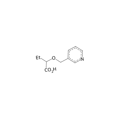 CCC(OCc1cccnc1)C(=O)O